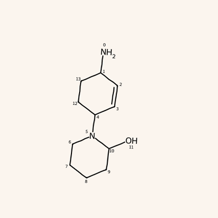 NC1C=CC(N2CCCCC2O)CC1